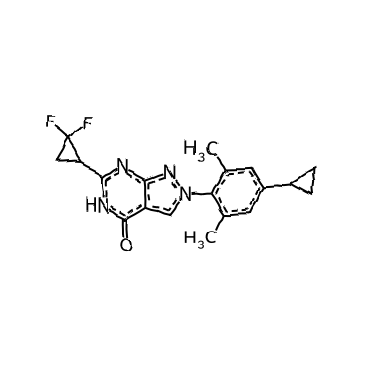 Cc1cc(C2CC2)cc(C)c1-n1cc2c(=O)[nH]c(C3CC3(F)F)nc2n1